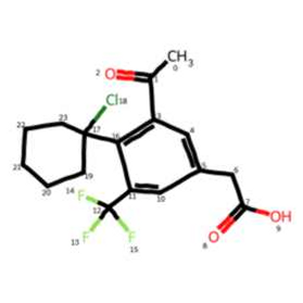 CC(=O)c1cc(CC(=O)O)cc(C(F)(F)F)c1C1(Cl)CCCCC1